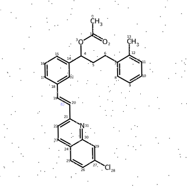 CC(=O)OC(CCc1ccccc1C)c1cccc(/C=C/c2ccc3ccc(Cl)cc3n2)c1